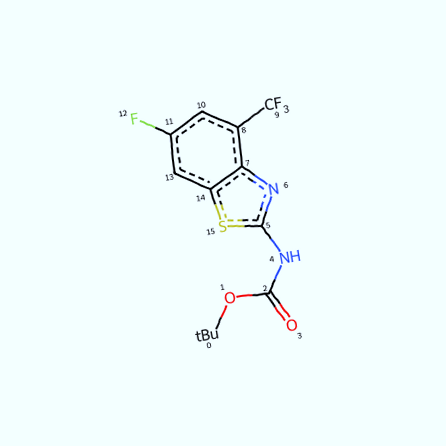 CC(C)(C)OC(=O)Nc1nc2c(C(F)(F)F)cc(F)cc2s1